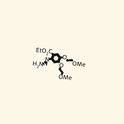 CCOC(=O)c1cc(OCCOC)c(OCCOC)cc1N=NN